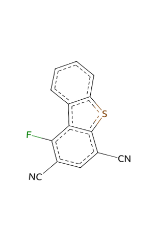 N#Cc1cc(C#N)c2sc3ccccc3c2c1F